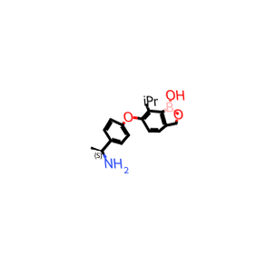 CC(C)c1c(Oc2ccc([C@H](C)N)cc2)ccc2c1B(O)OC2